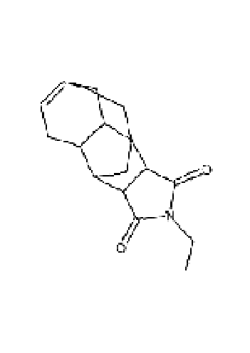 CCN1C(=O)C2C3CC4(CC5=CCC3C4C5)C2C1=O